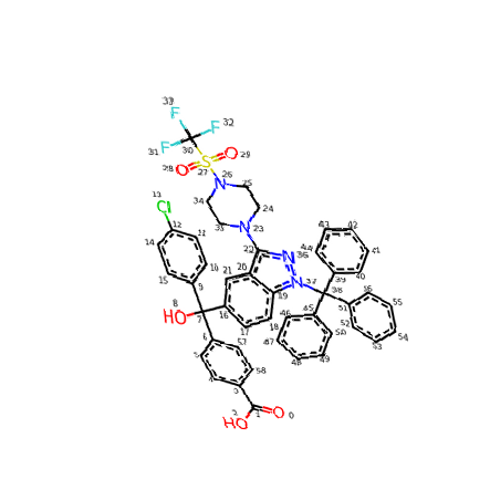 O=C(O)c1ccc(C(O)(c2ccc(Cl)cc2)c2ccc3c(c2)c(N2CCN(S(=O)(=O)C(F)(F)F)CC2)nn3C(c2ccccc2)(c2ccccc2)c2ccccc2)cc1